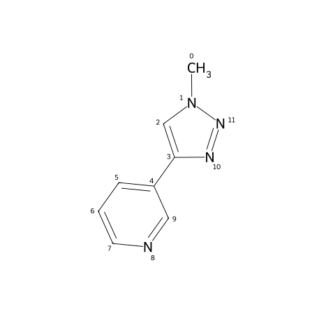 Cn1cc(-c2cccnc2)nn1